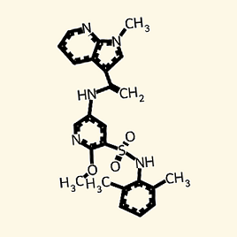 C=C(Nc1cnc(OC)c(S(=O)(=O)Nc2c(C)cccc2C)c1)c1cn(C)c2ncccc12